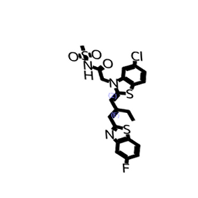 CCC(/C=C1\Sc2ccc(Cl)cc2N1CC(=O)NS(C)(=O)=O)=C\c1nc2cc(F)ccc2s1